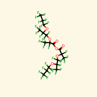 O=C(OC(=O)C(F)(OC(F)(F)C(F)(OC(F)(F)C(F)(F)C(F)(F)F)C(F)(F)F)C(F)(F)F)C(F)(OC(F)(F)C(F)(OC(F)(F)C(F)(F)C(F)(F)F)C(F)(F)F)C(F)(F)F